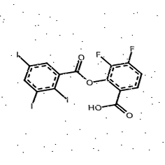 O=C(Oc1c(C(=O)O)ccc(F)c1F)c1cc(I)cc(I)c1I